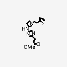 COC(=O)/C=C/c1cnc(N[C@@H]2CCN(CCc3cccs3)C2)cn1